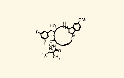 COc1ccc2c(c1)[C@@H]1C[C@H]2OCC=CC[C@H](N(C)C(=O)C(C)CC(F)(F)F)C(=O)N[C@@H](Cc2cc(F)cc(F)c2)[C@H](O)CN1